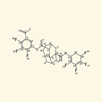 C=C(C)c1cc(CC(=C)C2CC3CC4CCC2CC(NCC2=C(F)C(F)=C(F)C(F)C2)(C4)C3)c(F)c(F)c1F